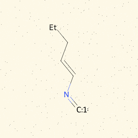 CCCC=CN=[C:1]